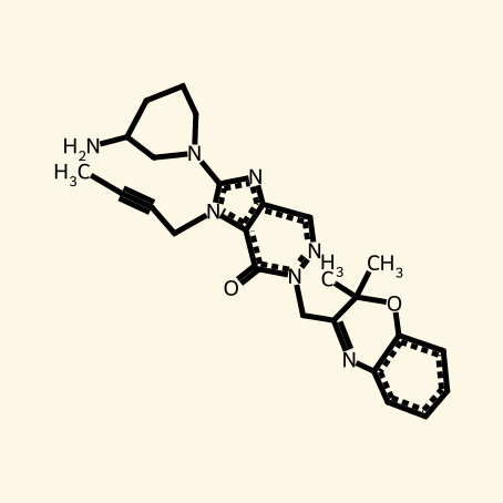 CC#CCn1c(N2CCCC(N)C2)nc2cnn(CC3=Nc4ccccc4OC3(C)C)c(=O)c21